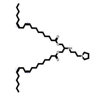 CCCCC/C=C\C/C=C\CCCCCCCC(=O)OCC(COC(=O)CCCCCCC/C=C\C/C=C\CCCCC)NCCCN1CCCC1